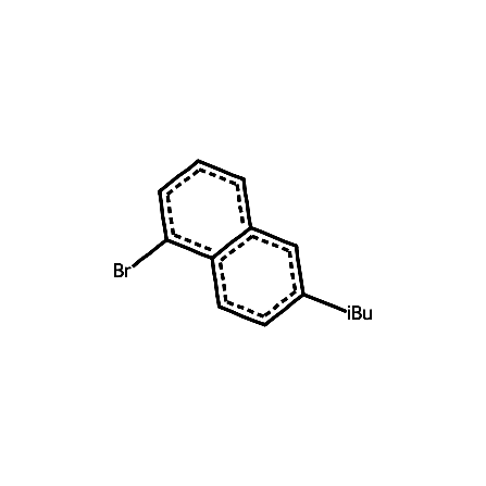 CCC(C)c1ccc2c(Br)cccc2c1